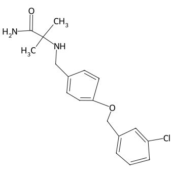 CC(C)(NCc1ccc(OCc2cccc(Cl)c2)cc1)C(N)=O